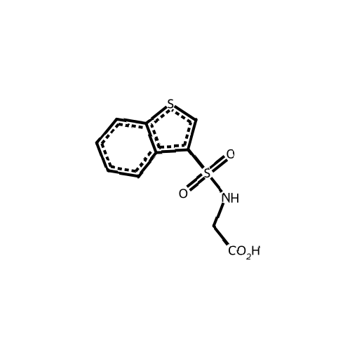 O=C(O)CNS(=O)(=O)c1csc2ccccc12